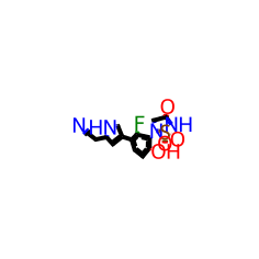 N#CCC1C=C(c2ccc(O)c(N3CC(=O)NS3(=O)=O)c2F)CN1